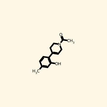 CC(=O)N1CC=C(c2ccc(C)cc2O)CC1